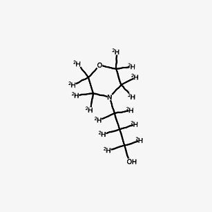 [2H]C([2H])(O)C([2H])([2H])C([2H])([2H])N1C([2H])([2H])C([2H])([2H])OC([2H])([2H])C1([2H])[2H]